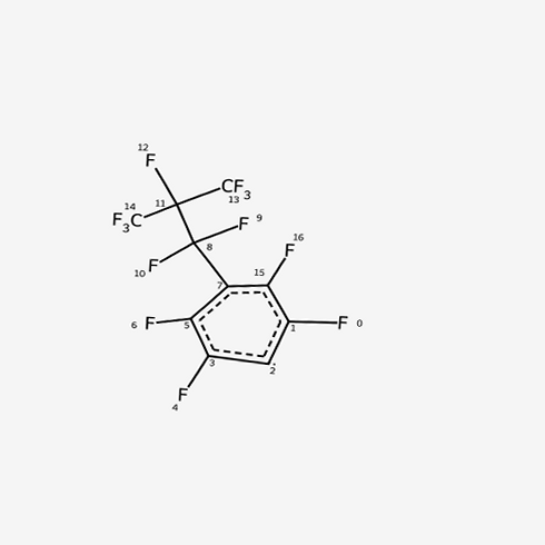 Fc1[c]c(F)c(F)c(C(F)(F)C(F)(C(F)(F)F)C(F)(F)F)c1F